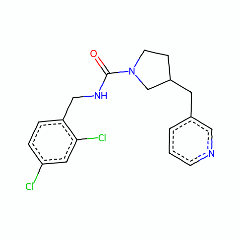 O=C(NCc1ccc(Cl)cc1Cl)N1CCC(Cc2cccnc2)C1